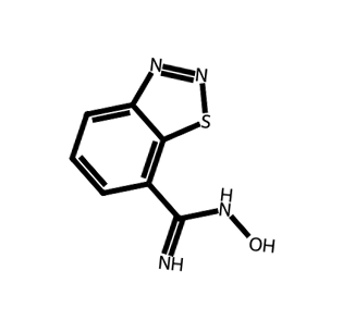 N=C(NO)c1cccc2nnsc12